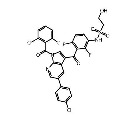 O=C(c1c(F)ccc(NS(=O)(=O)CCO)c1F)c1cn(C(=O)c2c(Cl)cccc2Cl)c2ncc(-c3ccc(Cl)cc3)cc12